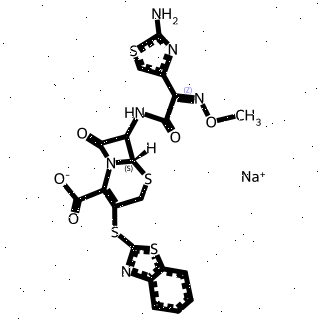 CO/N=C(\C(=O)NC1C(=O)N2C(C(=O)[O-])=C(Sc3nc4ccccc4s3)CS[C@@H]12)c1csc(N)n1.[Na+]